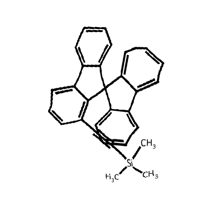 C[Si](C)(C)C#Cc1cccc2c1C1(c3ccccc3-c3ccccc31)c1ccccc1-2